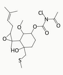 COC1C(OC(=O)N(Cl)C(C)=O)CCC(O)(CSC)C1C1(C)OC1CC=C(C)C